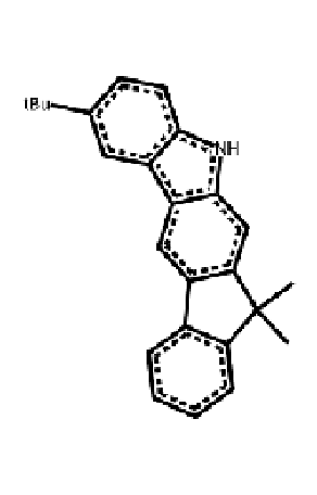 CC(C)(C)c1ccc2[nH]c3cc4c(cc3c2c1)-c1ccccc1C4(C)C